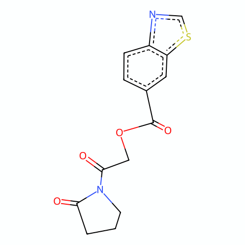 O=C(OCC(=O)N1CCCC1=O)c1ccc2ncsc2c1